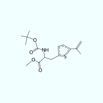 C=C(C)c1ccc(CC(NC(=O)OC(C)(C)C)C(=O)OC)s1